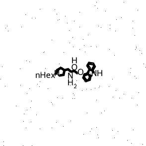 CCCCCCN1CCC(CC(N)[C@H](O)COc2cccc3[nH]c4ccccc4c23)CC1